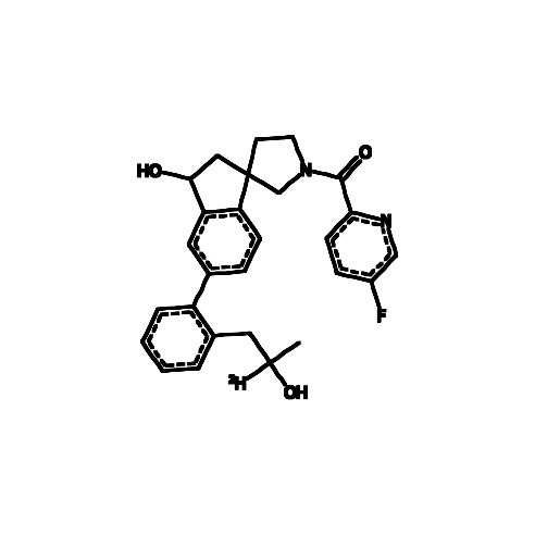 [2H]C(C)(O)Cc1ccccc1-c1ccc2c(c1)C(O)CC21CCN(C(=O)c2ccc(F)cn2)C1